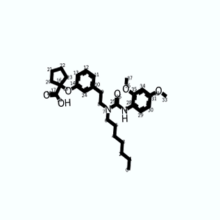 CCCCCCCN(CCc1cccc(OC2(C(=O)O)CCCC2)c1)C(=O)Nc1ccc(OC)cc1OC